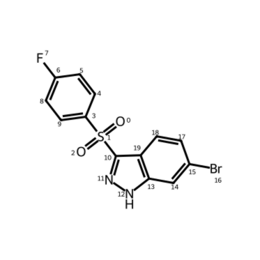 O=S(=O)(c1ccc(F)cc1)c1n[nH]c2cc(Br)ccc12